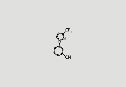 N#Cc1cccc(-n2ccc(C(F)(F)F)n2)c1